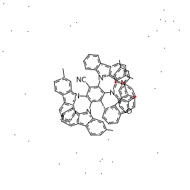 Cc1ccc2c3ccccc3n(-c3c(C#N)c(-n4c5ccccc5c5ccc(C)cc54)c(-n4c5ccccc5c5ccc(C)cc54)c(-c4cccc5oc6ccncc6c45)c3-n3c4ccccc4c4ccc(C)cc43)c2c1